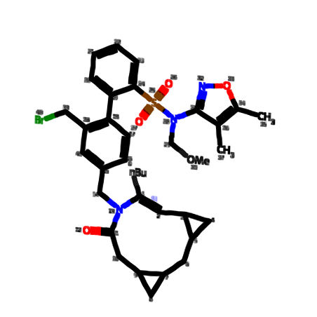 CCCC/C1=C\C2CC2CC2CC2CC(=O)N1Cc1ccc(-c2ccccc2S(=O)(=O)N(COC)c2noc(C)c2C)c(CBr)c1